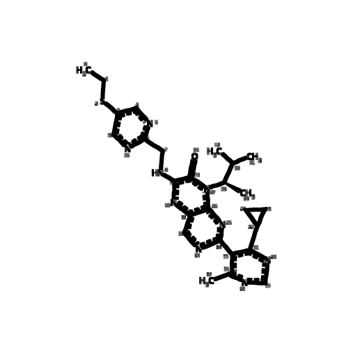 CCSc1cnc(CNc2nc3cnc(-c4c(C)ncnc4C4CC4)nc3n([C@H](C)C(C)C)c2=O)nc1